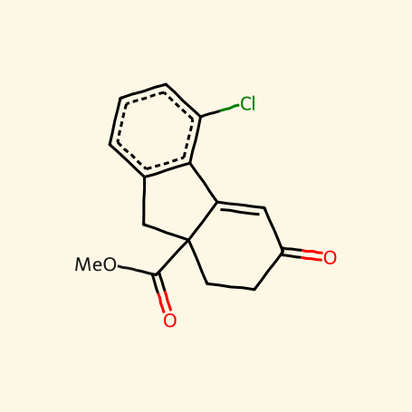 COC(=O)C12CCC(=O)C=C1c1c(Cl)cccc1C2